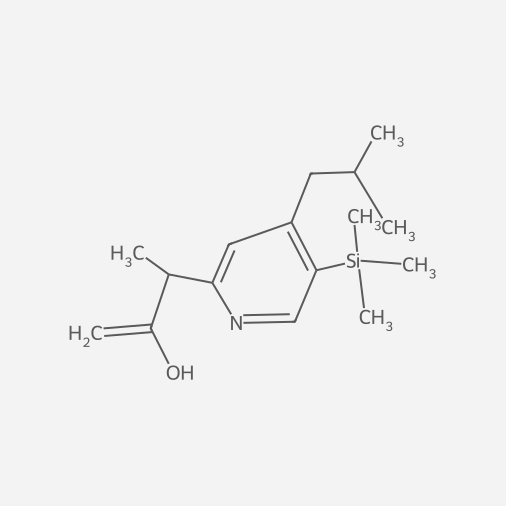 C=C(O)C(C)c1cc(CC(C)C)c([Si](C)(C)C)cn1